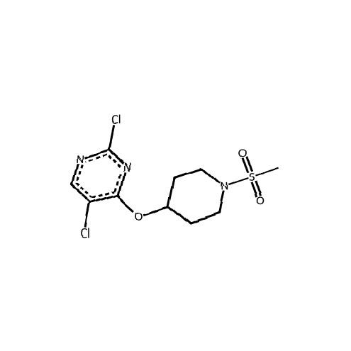 CS(=O)(=O)N1CCC(Oc2nc(Cl)ncc2Cl)CC1